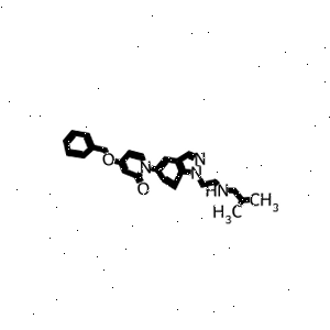 CC(C)CNCCn1ncc2cc(-n3ccc(OCc4ccccc4)cc3=O)ccc21